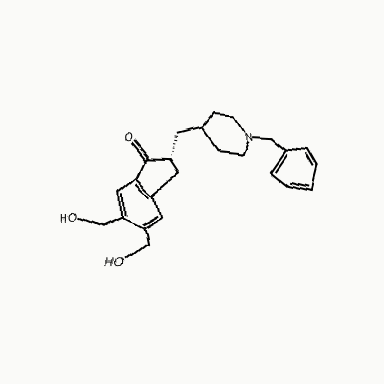 O=C1c2cc(CO)c(CO)cc2C[C@H]1CC1CCN(Cc2ccccc2)CC1